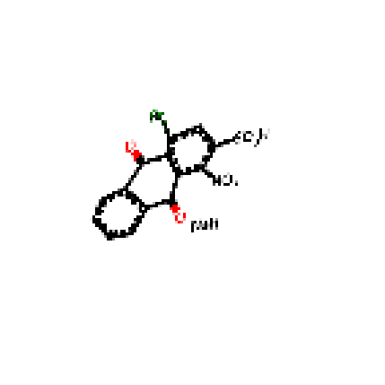 O=C1c2ccccc2C(=O)c2c1c(Br)cc(S(=O)(=O)O)c2[N+](=O)[O-].[NaH]